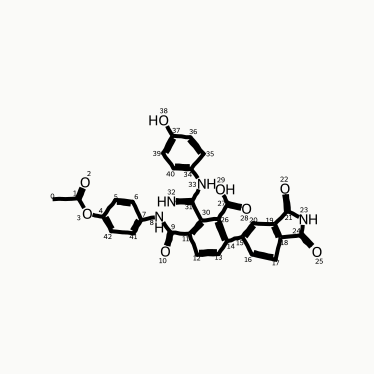 CC(=O)Oc1ccc(NC(=O)c2ccc(-c3ccc4c(c3)C(=O)NC4=O)c(C(=O)O)c2C(=N)Nc2ccc(O)cc2)cc1